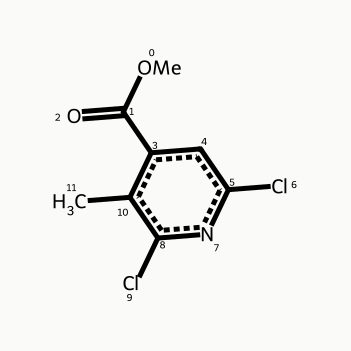 COC(=O)c1cc(Cl)nc(Cl)c1C